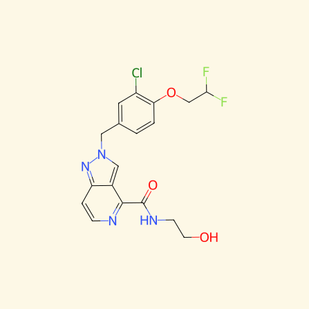 O=C(NCCO)c1nccc2nn(Cc3ccc(OCC(F)F)c(Cl)c3)cc12